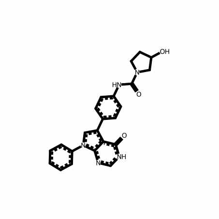 O=C(Nc1ccc(-c2cn(-c3ccccc3)c3nc[nH]c(=O)c23)cc1)N1CCC(O)C1